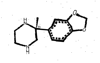 C[C@@]1(c2ccc3c(c2)OCO3)CNCCN1